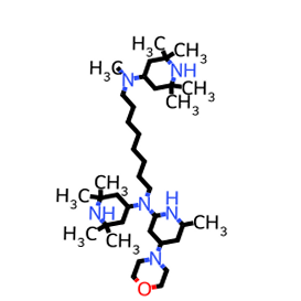 CC1CC(N2CCOCC2)CC(N(CCCCCCCCN(C)C2CC(C)(C)NC(C)(C)C2)C2CC(C)(C)NC(C)(C)C2)N1